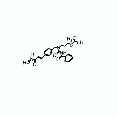 CC(C)OCCCN(Cc1ccc(/C=C/C(=O)NO)cc1)C(=O)NC(=O)c1ccccc1